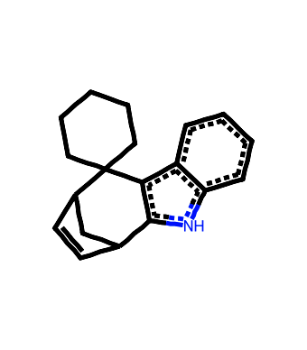 C1=CC2CC1c1[nH]c3ccccc3c1C21CCCCC1